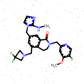 CNc1nccn1Cc1cc(CN2CC(F)(F)C2)c2c(c1)C(=O)N(Cc1cc(OC)c(F)cn1)CC2